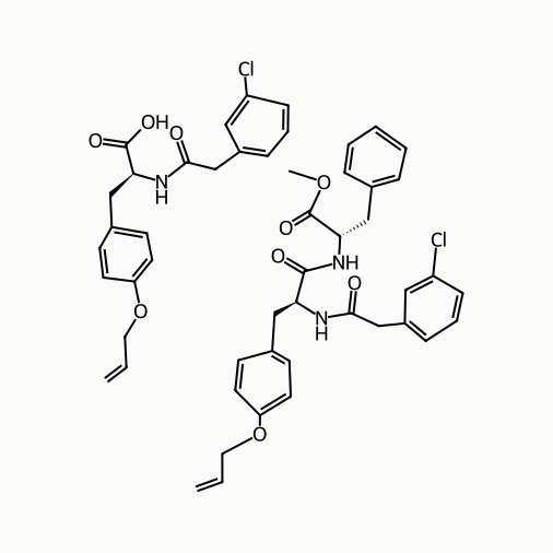 C=CCOc1ccc(C[C@H](NC(=O)Cc2cccc(Cl)c2)C(=O)N[C@@H](Cc2ccccc2)C(=O)OC)cc1.C=CCOc1ccc(C[C@H](NC(=O)Cc2cccc(Cl)c2)C(=O)O)cc1